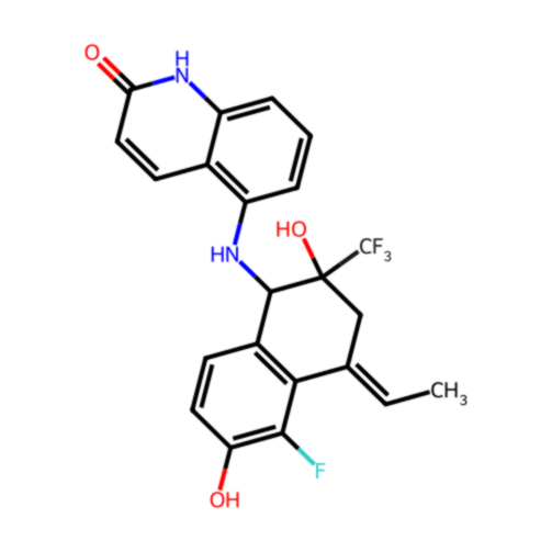 CC=C1CC(O)(C(F)(F)F)C(Nc2cccc3[nH]c(=O)ccc23)c2ccc(O)c(F)c21